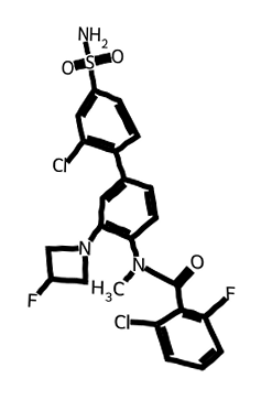 CN(C(=O)c1c(F)cccc1Cl)c1ccc(-c2ccc(S(N)(=O)=O)cc2Cl)cc1N1CC(F)C1